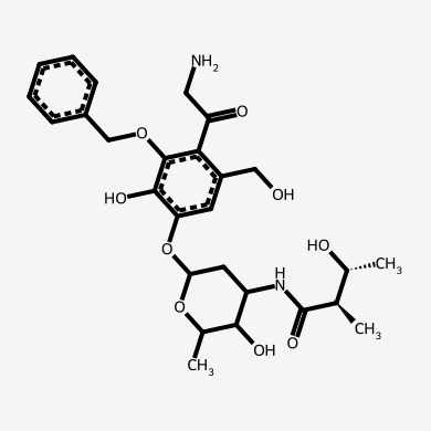 CC1OC(Oc2cc(CO)c(C(=O)CN)c(OCc3ccccc3)c2O)CC(NC(=O)[C@H](C)[C@@H](C)O)C1O